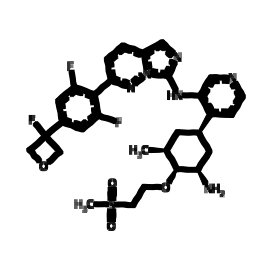 C[C@H]1C[C@@H](c2ccncc2Nc2ncc3ccc(-c4c(F)cc(C5(F)COC5)cc4F)nn23)C[C@@H](N)[C@H]1OCCS(C)(=O)=O